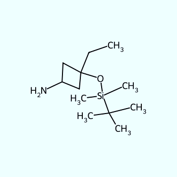 CCC1(O[Si](C)(C)C(C)(C)C)CC(N)C1